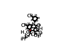 CC(C)OCC(C)(C)C(=O)C1=C(O)C(=O)NC12C(=O)N(c1cccc(Cl)c1)c1cc(Cl)ccc12